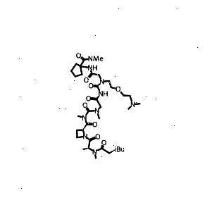 CC[C@H](C)CC(=O)N(C)[C@@H](C)C(=O)N1CC[C@H]1C(=O)N(C)C(=O)N(C)CC(=O)NC(=O)N(CCOCCN(C)C)CC(=O)NC1(C(=O)NC)CCCC1